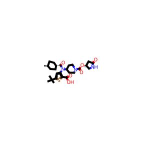 CC(C)(C)c1cc(N(C(=O)[C@H]2CC[C@H](C)CC2)C2CCN(C(=O)O[C@H]3CNC(=O)C3)CC2)c(C(=O)O)s1